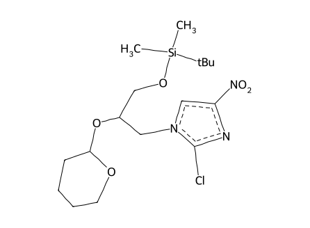 CC(C)(C)[Si](C)(C)OCC(Cn1cc([N+](=O)[O-])nc1Cl)OC1CCCCO1